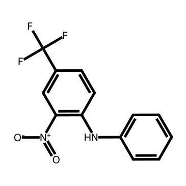 O=[N+]([O-])c1cc(C(F)(F)F)ccc1Nc1ccccc1